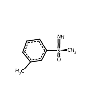 Cc1cccc([S@](C)(=N)=O)c1